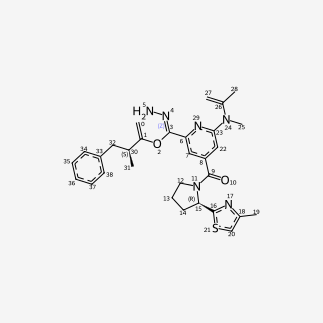 C=C(O/C(=N\N)c1cc(C(=O)N2CCC[C@@H]2c2nc(C)cs2)cc(N(C)C(=C)C)n1)[C@@H](C)Cc1ccccc1